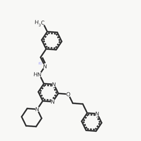 Cc1cccc(/C=N/Nc2cc(N3CCCCC3)nc(OCCc3ccccn3)n2)c1